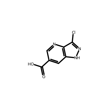 O=C(O)c1cnc2c(Cl)n[nH]c2c1